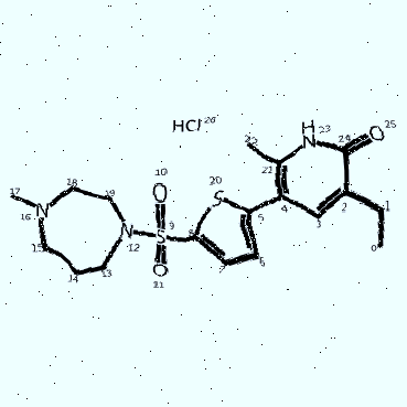 CCc1cc(-c2ccc(S(=O)(=O)N3CCCN(C)CC3)s2)c(C)[nH]c1=O.Cl